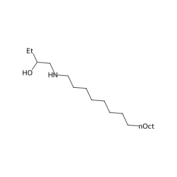 CCCCCCCCCCCCCCCCNCC(O)CC